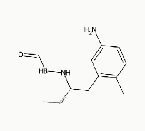 CC[C@@H](Cc1cc(N)ccc1C)NBC=O